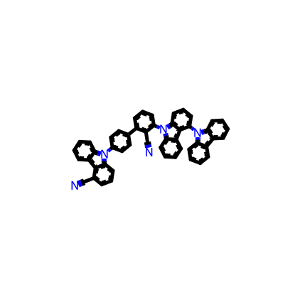 N#Cc1c(-c2ccc(-n3c4ccccc4c4c(C#N)cccc43)cc2)cccc1-n1c2ccccc2c2c(-n3c4ccccc4c4ccccc43)cccc21